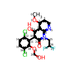 COc1ccnc2c1c(O)c(-c1c(Cl)ccc(Cl)c1OCO)c(=O)n2CC(F)F